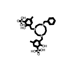 Cc1cc(CN2CCCN(Cc3ccccc3)CCN(Cc3cc(C)cc(P(=O)(O)O)c3O)CC2)c(O)c(P(=O)(O)O)c1